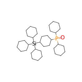 O=P(C1CCCCC1)(C1CCCCC1)C1CCC([Si](C2CCCCC2)(C2CCCCC2)C2CCCCC2)CC1